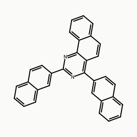 c1ccc2cc(-c3nc(-c4ccc5ccccc5c4)c4ccc5ccccc5c4n3)ccc2c1